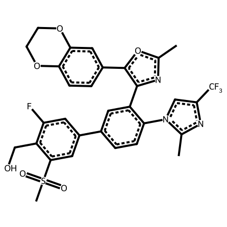 Cc1nc(-c2cc(-c3cc(F)c(CO)c(S(C)(=O)=O)c3)ccc2-n2cc(C(F)(F)F)nc2C)c(-c2ccc3c(c2)OCCO3)o1